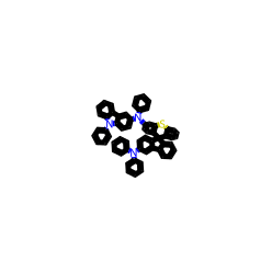 c1ccc(N(c2ccccc2)c2ccc3c(c2)-c2ccccc2C32c3ccccc3Sc3cc(N(c4ccccc4)c4ccc5c(c4)c4ccccc4n5-c4ccccc4)ccc32)cc1